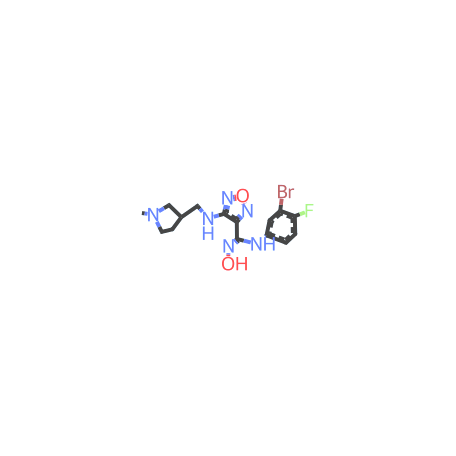 CN1CCC(CNc2nonc2/C(=N/O)Nc2ccc(F)c(Br)c2)C1